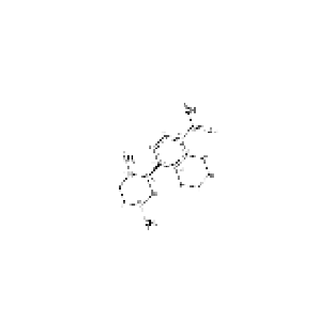 C[C@@H]1CCN(C)[C@@H](c2ccc(C(=O)O)c3c2CCCC3)C1